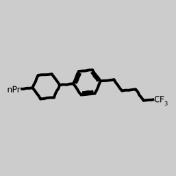 CCCC1CCC(c2ccc(CCCCC(F)(F)F)cc2)CC1